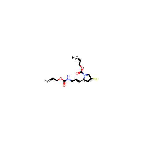 C=CCOC(=O)NCC=C[C@@H]1C[C@H](S)CN1C(=O)OCC=C